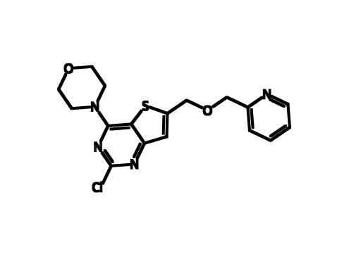 Clc1nc(N2CCOCC2)c2sc(COCc3ccccn3)cc2n1